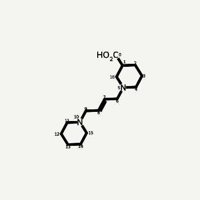 O=C(O)C1CCCN(CC=CCN2CCCCC2)C1